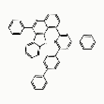 c1ccc(-c2ccc(-c3nc(-c4ccccc4)nc(-c4cccc5nc(-c6ccccc6)c6c7ccccc7sc6c45)n3)cc2)cc1